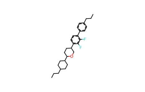 CCCc1ccc(-c2ccc(C3CCC(C4CCC(CCC)CC4)OC3)c(F)c2F)cc1